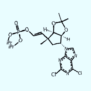 CC(C)OP(=O)(O/C=C/[C@@]1(C)C[C@@H](n2cnc3c(Cl)nc(Cl)nc32)[C@@H]2OC(C)(C)O[C@@H]21)OC(C)C